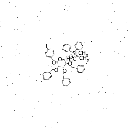 CC(C)(C)[Si](OC[C@H]1O[C@H](Oc2ccc(I)cc2)[C@@H](OCc2ccccc2)[C@@H](OCc2ccccc2)[C@@H]1OCc1ccccc1)(c1ccccc1)c1ccccc1